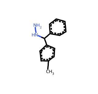 Cc1ccc(C(NN)c2ccccc2)cc1